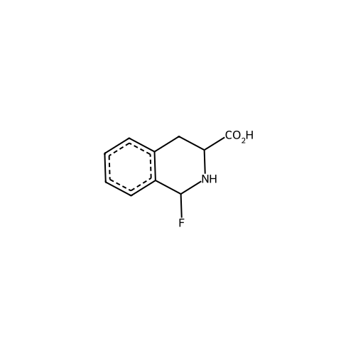 O=C(O)C1Cc2ccccc2C(F)N1